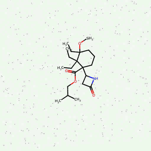 CCC1(O[SiH3])CCCC(C(=O)OCC(C)C)(C2CC(=O)N2)C1(CC)CC